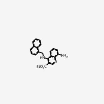 CCOC(=O)c1cnc2c(N)cccc2c1NCc1cccc2ccccc12